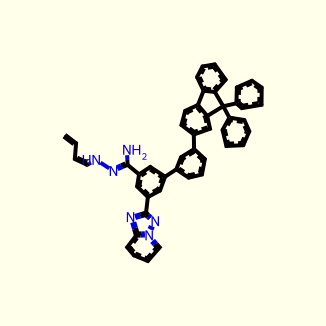 C=C/C=C\N/N=C(\N)c1cc(-c2cccc(-c3ccc4c(c3)C(c3ccccc3)(c3ccccc3)c3ccccc3-4)c2)cc(-c2nc3ccccn3n2)c1